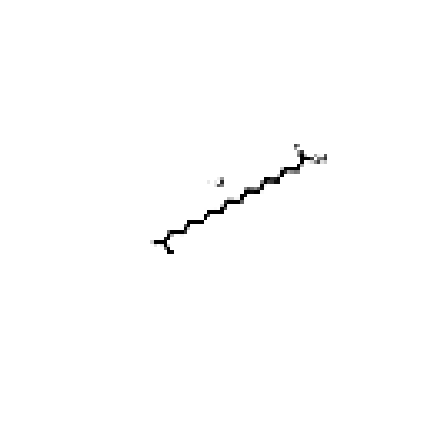 CC(C)CCCCCCCCCCCCCCC(=O)O.Cl